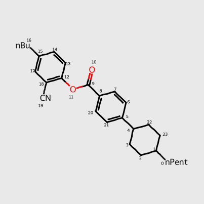 CCCCCC1CCC(c2ccc(C(=O)Oc3ccc(CCCC)cc3C#N)cc2)CC1